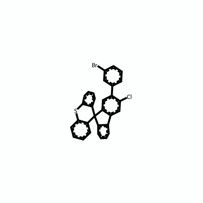 Clc1cc2c(cc1-c1cccc(Br)c1)C1(c3ccccc3Sc3ccccc31)c1ccccc1-2